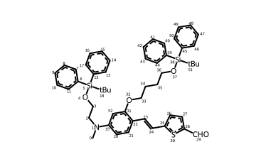 CN(CCO[Si](c1ccccc1)(c1ccccc1)C(C)(C)C)c1ccc(/C=C/c2ccc(C=O)s2)c(OCCCCO[Si](c2ccccc2)(c2ccccc2)C(C)(C)C)c1